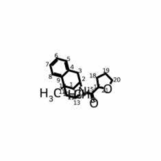 C[C@@H]1C2Cc3ccccc3[C@@]1(C)CCN2C(=O)C1CCCO1